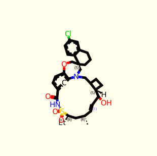 CC[C@@H]1C[C@@H](C)/C=C/C(O)[C@H]2CCC2CN2C[C@@]3(CCCc4cc(Cl)ccc43)COc3ccc(cc32)C(=O)NS1(=O)=O